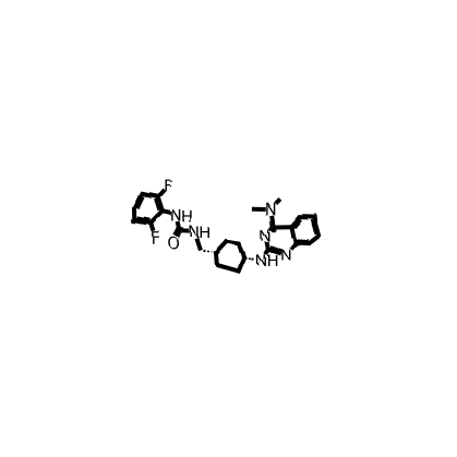 CN(C)c1nc(N[C@H]2CC[C@@H](CNC(=O)Nc3c(F)cccc3F)CC2)nc2ccccc12